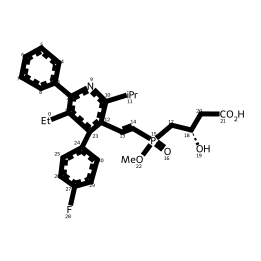 CCc1c(-c2ccccc2)nc(C(C)C)c(C=CP(=O)(C[C@@H](O)CC(=O)O)OC)c1-c1ccc(F)cc1